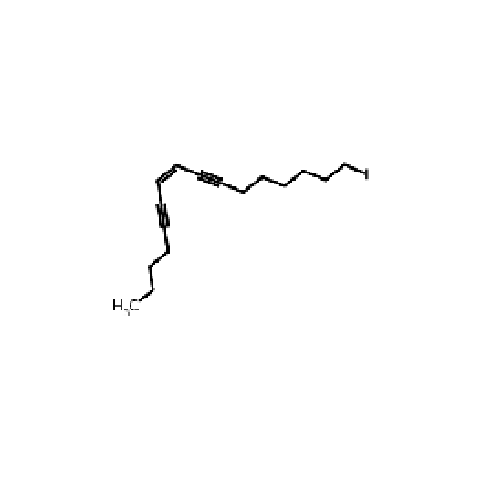 CCCCC#C/C=C\C#CCCCCCCI